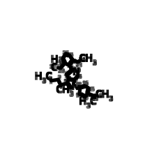 CCCC(C)c1cn(-c2ccc(C(C)C)cc2)c2cnc(-c3c(CC)cccc3CC)cc12